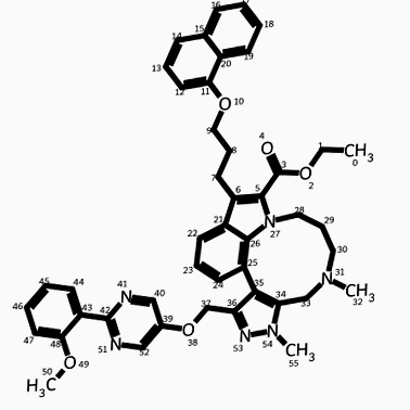 CCOC(=O)c1c(CCCOc2cccc3ccccc23)c2cccc3c2n1CCCN(C)Cc1c-3c(COc2cnc(-c3ccccc3OC)nc2)nn1C